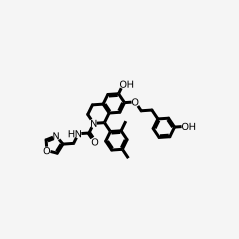 Cc1ccc(C2c3cc(OCCc4cccc(O)c4)c(O)cc3CCN2C(=O)NCc2cocn2)c(C)c1